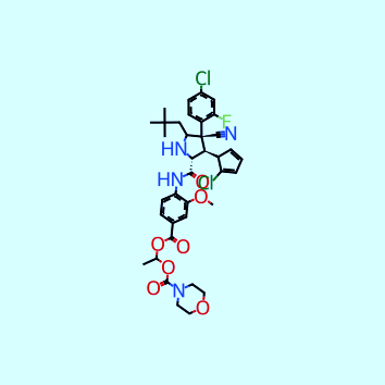 COc1cc(C(=O)OC(C)OC(=O)N2CCOCC2)ccc1NC(=O)[C@@H]1NC(CC(C)(C)C)[C@](C#N)(c2ccc(Cl)cc2F)[C@H]1C1C=CC=C1Cl